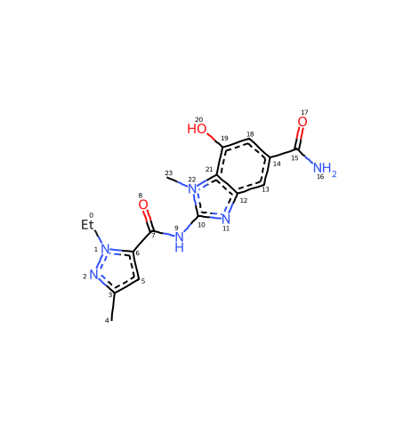 CCn1nc(C)cc1C(=O)Nc1nc2cc(C(N)=O)cc(O)c2n1C